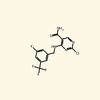 NC(=O)c1cnc(Cl)nc1NCc1cc(F)cc(C(F)(F)F)c1